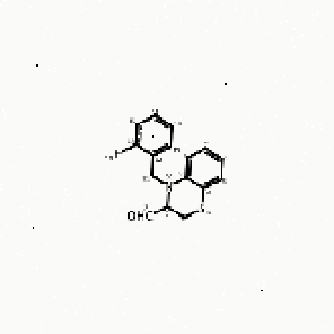 O=CC1CSc2ccccc2N1Cc1ccccc1F